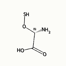 N[C@@H](OS)C(=O)O